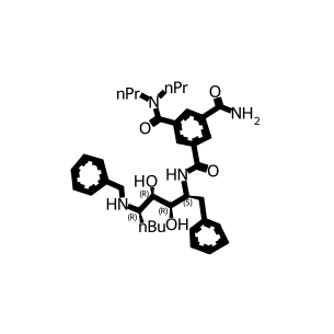 CCCC[C@@H](NCc1ccccc1)[C@@H](O)[C@H](O)[C@H](Cc1ccccc1)NC(=O)c1cc(C(N)=O)cc(C(=O)N(CCC)CCC)c1